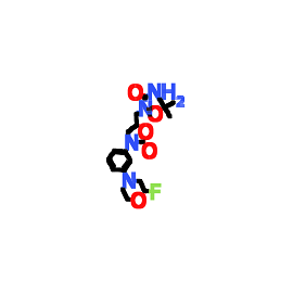 CC(C)(C)ON(CC1CN(c2cccc(N3CCOC(F)C3)c2)C(=O)O1)C(N)=O